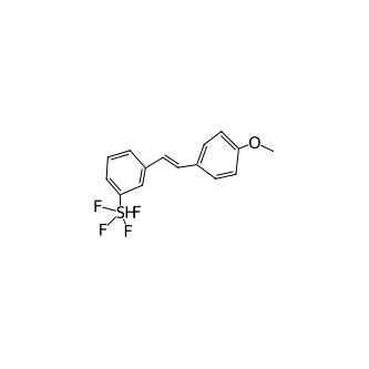 COc1ccc(/C=C/c2cccc([SH](F)(F)(F)F)c2)cc1